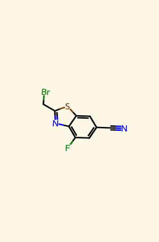 N#Cc1cc(F)c2nc(CBr)sc2c1